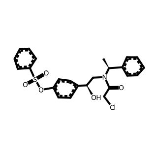 C[C@@H](c1ccccc1)N(C[C@@H](O)c1ccc(OS(=O)(=O)c2ccccc2)cc1)C(=O)CCl